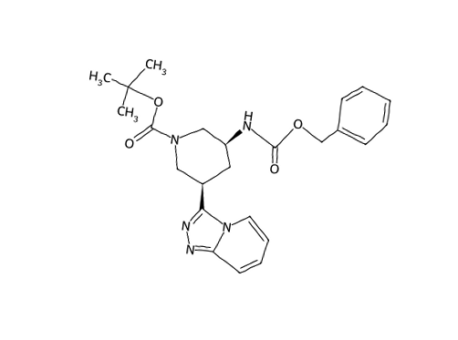 CC(C)(C)OC(=O)N1C[C@@H](NC(=O)OCc2ccccc2)C[C@@H](c2nnc3ccccn23)C1